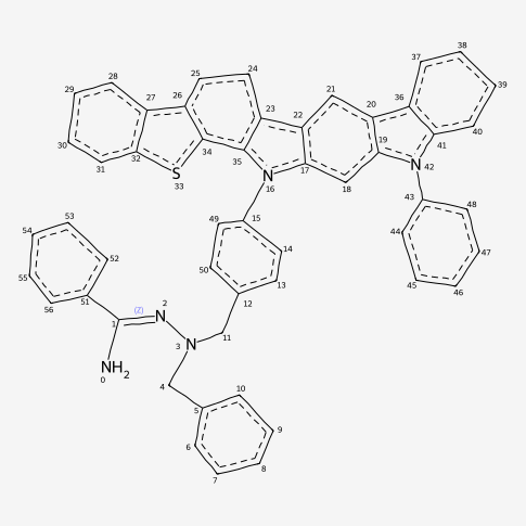 N/C(=N\N(Cc1ccccc1)Cc1ccc(-n2c3cc4c(cc3c3ccc5c6ccccc6sc5c32)c2ccccc2n4-c2ccccc2)cc1)c1ccccc1